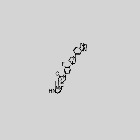 O=C1O[C@@H](CN2C=CNN2)CN1c1ccc(N2CCN(c3ccc4nonc4c3)CC2)c(F)c1